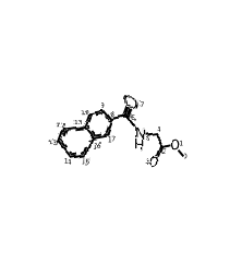 COC(=O)CNC(=O)c1ccc2ccccc2c1